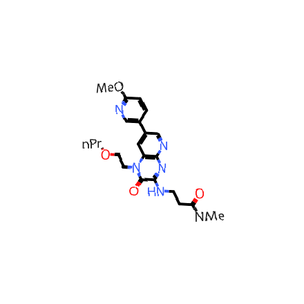 CCCOCCn1c(=O)c(NCCC(=O)NC)nc2ncc(-c3ccc(OC)nc3)cc21